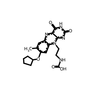 Cc1cc2nc3c(=O)[nH]c(=O)nc-3n(CCNC(=O)O)c2cc1OC1CCCC1